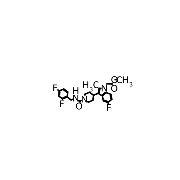 COC(=O)Cn1c(C)c(C2CCN(C(=O)NCc3ccc(F)cc3F)CC2)c2cc(F)ccc21